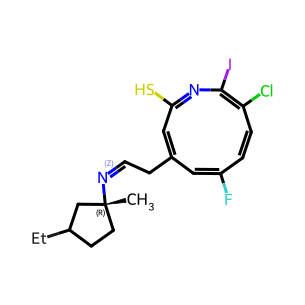 CCC1CC[C@@](C)(/N=C\Cc2cc(F)ccc(Cl)c(I)nc(S)c2)C1